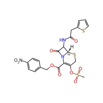 CS(=O)(=O)OC1=C(C(=O)OCc2ccc([N+](=O)[O-])cc2)N2C(=O)C(NC(=O)Cc3cccs3)[C@@H]2SC1